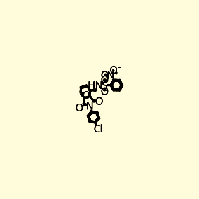 O=C1C2C3C=CC(CNS(=O)(=O)c4ccccc4[N+](=O)[O-])(O3)C2C(=O)N1c1ccc(Cl)cc1